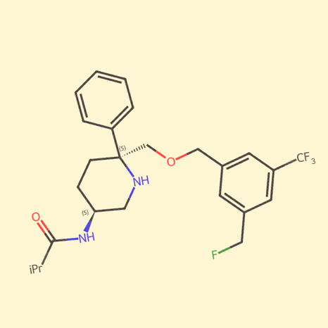 CC(C)C(=O)N[C@H]1CC[C@@](COCc2cc(CF)cc(C(F)(F)F)c2)(c2ccccc2)NC1